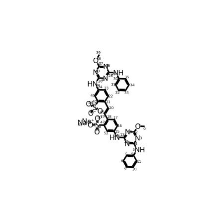 COc1nc(Nc2ccccc2)nc(Nc2ccc(C=Cc3ccc(Nc4nc(Nc5ccccc5)nc(OC)n4)cc3S(=O)(=O)[O-])c(S(=O)(=O)[O-])c2)n1.[Na+].[Na+]